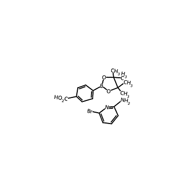 CC1(C)OB(c2ccc(C(=O)O)cc2)OC1(C)C.Nc1cccc(Br)n1